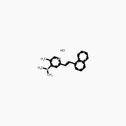 Cc1cnc(/C=C/c2cccc3ccccc23)cc1N(C)C.Cl